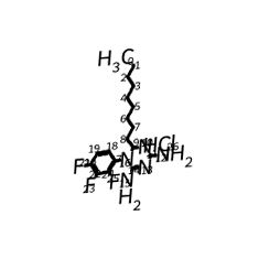 CCCCCCCCCC1N=C(N)N=C(N)N1c1ccc(F)c(F)c1F.Cl